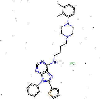 Cc1cccc(N2CCN(CCCCNc3ncnc4c3nc(-c3cccs3)n4-c3ccccc3)CC2)c1C.Cl